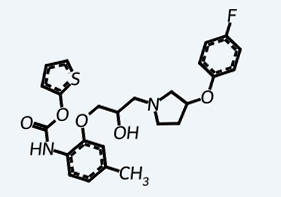 Cc1ccc(NC(=O)Oc2cccs2)c(OCC(O)CN2CCC(Oc3ccc(F)cc3)C2)c1